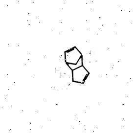 CC(=O)O[C@@H]1C=C[C@H]2[C@@H]1[C@H]1C=C[C@@H]2C1